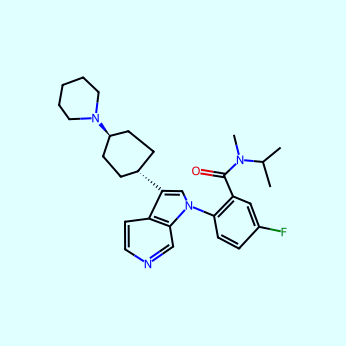 CC(C)N(C)C(=O)c1cc(F)ccc1-n1cc([C@H]2CC[C@H](N3CCCCC3)CC2)c2ccncc21